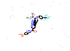 CC(C)[C@H]1c2ncc(C(=O)NCc3ccc(S(=O)O)cc3)cc2CN1Cc1ccc(C(F)(F)F)cc1